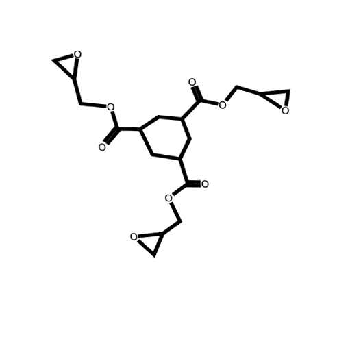 O=C(OCC1CO1)C1CC(C(=O)OCC2CO2)CC(C(=O)OCC2CO2)C1